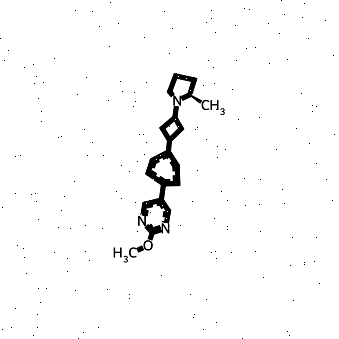 COc1ncc(-c2ccc(C3CC(N4CCC[C@H]4C)C3)cc2)cn1